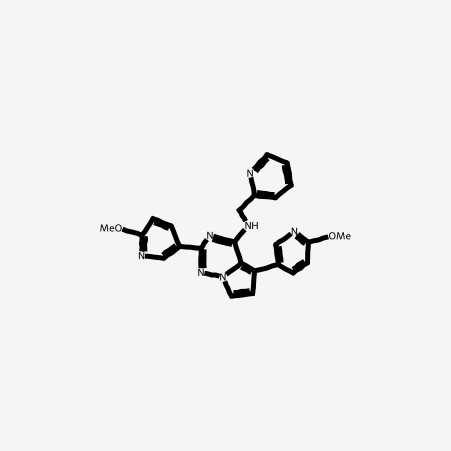 COc1ccc(-c2nc(NCc3ccccn3)c3c(-c4ccc(OC)nc4)ccn3n2)cn1